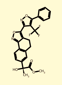 COC(=O)[C@](C)(O)c1ccc2c(c1)CCc1c-2noc1-c1noc(-c2ccccc2)c1C(F)(F)F